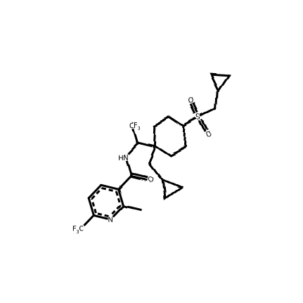 Cc1nc(C(F)(F)F)ccc1C(=O)NC(C(F)(F)F)C1(CC2CC2)CCC(S(=O)(=O)CC2CC2)CC1